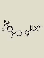 CC(C)(O)CNc1cc(C2CCN(C(=O)c3ccc(C(F)(F)F)c(Cl)c3)CC2)no1